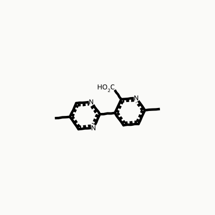 Cc1cnc(-c2ccc(C)nc2C(=O)O)nc1